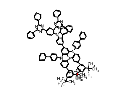 CC(C)(C)c1cc(-c2ccc3c(c2)B2c4cc(-c5cc(C(C)(C)C)cc(C(C)(C)C)c5)ccc4N(c4ccc(-c5ccccc5)cc4)c4cc(-c5ccc6c(c5)c5ccccc5n6-c5ccc(-c6nc(-c7ccccc7)nc(-c7ccccc7)n6)cc5-c5nc(-c6ccccc6)nc(-c6ccccc6)n5)cc(c42)N3c2ccc(-c3ccccc3)cc2)cc(C(C)(C)C)c1